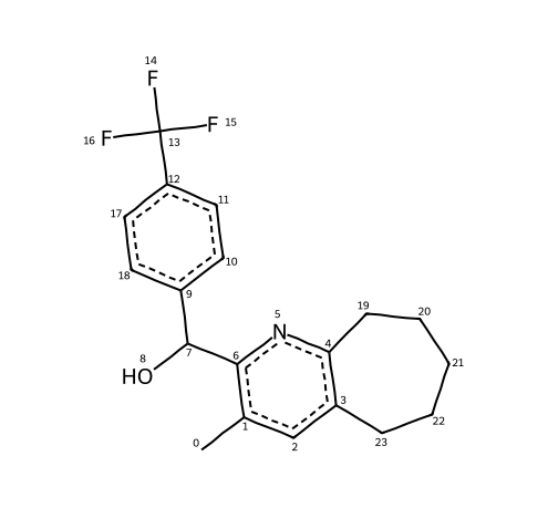 Cc1cc2c(nc1C(O)c1ccc(C(F)(F)F)cc1)CCCCC2